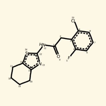 O=C(Cc1c(F)cccc1Cl)Nc1nc2c(s1)CCCC2